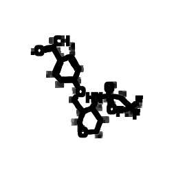 CC(=O)c1ccc(OCC2COCCC2NS(=O)(=O)CC(F)(F)F)cc1